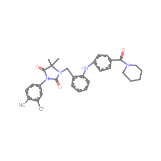 CC1(C)C(=O)N(c2ccc(C#N)c(C(F)(F)F)c2)C(=O)N1Cc1ccccc1Nc1ccc(C(=O)N2CCCCC2)cc1